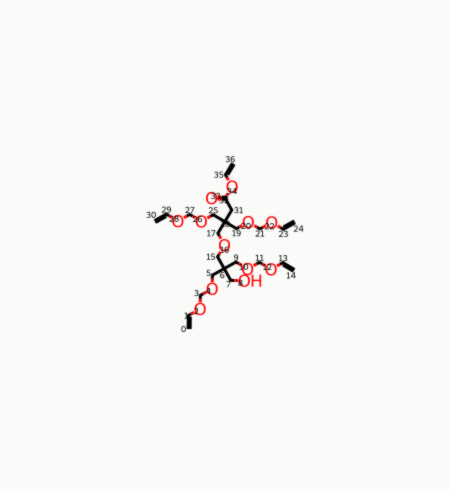 C=COCOCC(CO)(COCOC=C)COCC(COCOC=C)(COCOC=C)CC(=O)OC=C